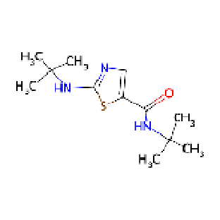 CC(C)(C)NC(=O)c1cnc(NC(C)(C)C)s1